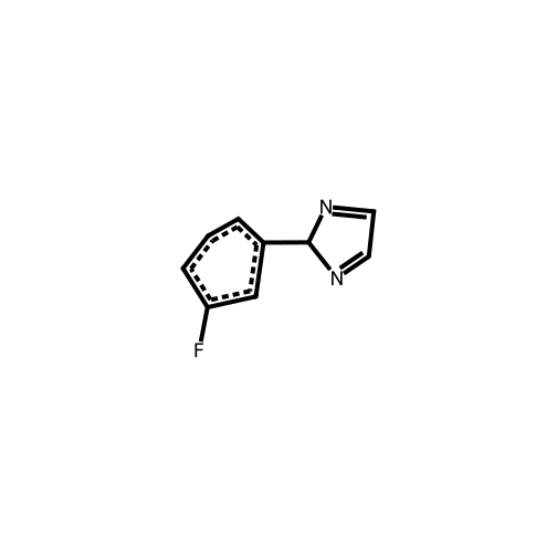 Fc1cccc(C2N=CC=N2)c1